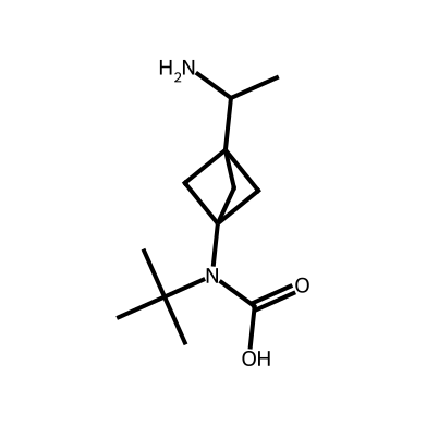 CC(N)C12CC(N(C(=O)O)C(C)(C)C)(C1)C2